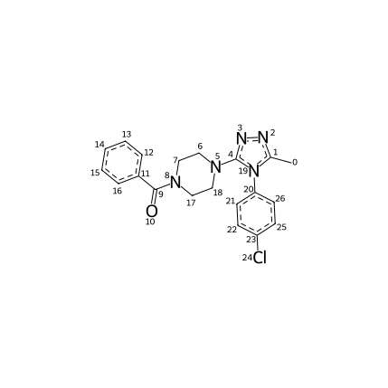 Cc1nnc(N2CCN(C(=O)c3ccccc3)CC2)n1-c1ccc(Cl)cc1